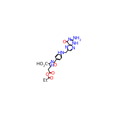 CCC(=O)OC(=O)CC[C@H](NC(=O)c1ccc(NCc2cnc3[nH]c(N)nc(=O)c3n2)cc1)C(=O)O